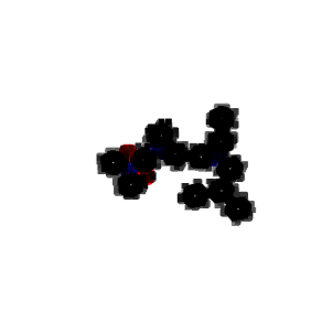 c1ccc(-c2cc(-c3ccccc3)cc(-c3cccc(-n4c5ccc(-c6ccccc6)cc5c5cc(-c6ccc7c(c6)c6ccccc6n7-c6cc7c8c(c6)Oc6ccccc6N8c6ccccc6O7)ccc54)c3)c2)cc1